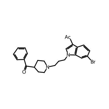 CC(=O)c1cn(CCCN2CCC(C(=O)c3ccccc3)CC2)c2cc(Br)ccc12